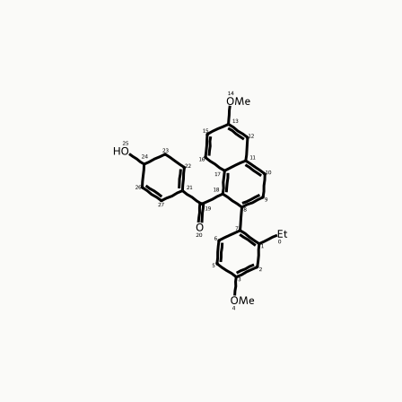 CCc1cc(OC)ccc1-c1ccc2cc(OC)ccc2c1C(=O)C1=CCC(O)C=C1